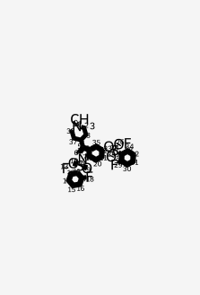 CN1CCC(c2cn(S(=O)(=O)c3c(F)cccc3F)c3ccc(OS(=O)(=O)c4c(F)cccc4F)cc23)CC1